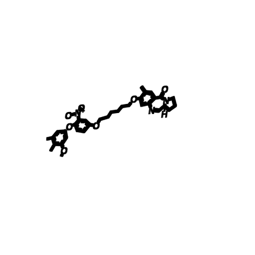 COc1cc(Oc2ccc(OCCCCCCOc3cc4c(cc3C)C(=O)N3CCC[C@H]3C=N4)cc2[N+](=O)[O-])cc(C)c1C